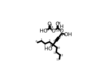 CCCCC(O)(C#CCO)CCCC.O=C(O)OC(=O)O